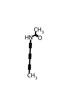 CC#CC#CC#CNC(C)=O